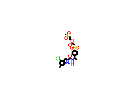 Cc1cc(Cl)c2cc(C(=O)NC(C)c3ccc(S(=O)(=O)CC(=O)OCCS(C)(=O)=O)cc3)n(C)c2c1